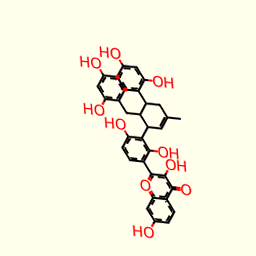 CC1=CC(c2c(O)ccc(-c3oc4cc(O)ccc4c(=O)c3O)c2O)C(Cc2ccc(O)cc2O)C(c2ccc(O)cc2O)C1